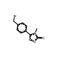 Cn1c(-c2ccc(CBr)cc2)noc1=O